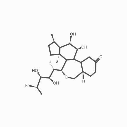 CC(C)[C@H](C)[C@@H](O)[C@H](O)[C@H](C)[C@@H]1OC[C@H]2CCC(=O)CC2C2C1[C@@]1(C)CC[C@@H](C)C1[C@@H](O)[C@H]2O